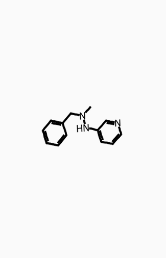 CN(Cc1ccccc1)Nc1cccnc1